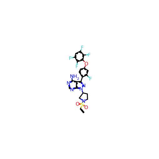 C=CS(=O)(=O)N1CCC(n2nc(-c3ccc(Oc4c(F)c(F)cc(F)c4F)cc3F)c3c(N)ncnc32)C1